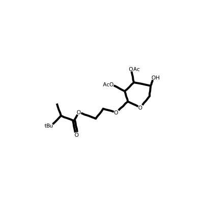 CC(=O)OC1C(O)COC(OCCOC(=O)C(C)C(C)(C)C)C1OC(C)=O